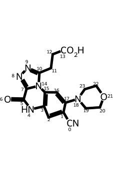 N#Cc1cc2[nH]c(=O)c3nnc(CCC(=O)O)n3c2cc1N1CCOCC1